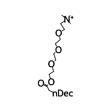 CCCCCCCCCCCC(=O)OCCOCCOCCOCC[N+](C)(C)C